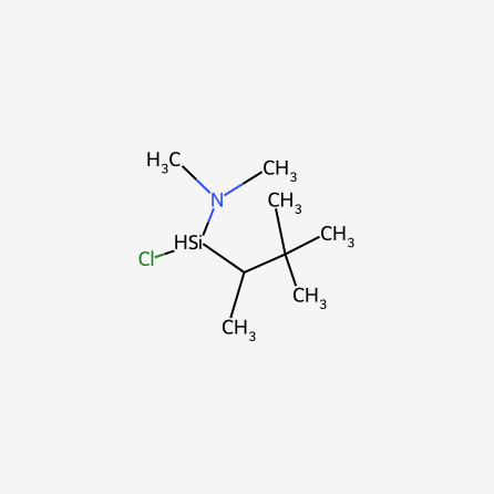 CC([SiH](Cl)N(C)C)C(C)(C)C